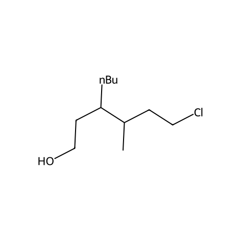 CCCCC(CCO)C(C)CCCl